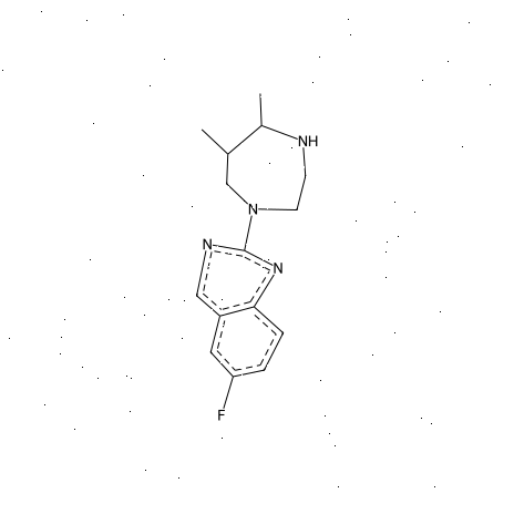 CC1CN(c2ncc3cc(F)ccc3n2)CCNC1C